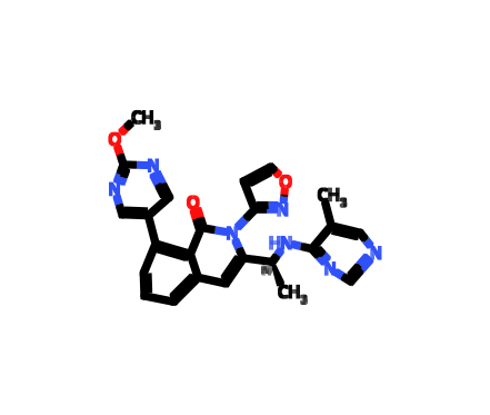 COc1ncc(-c2cccc3cc([C@H](C)Nc4ncncc4C)n(-c4ccon4)c(=O)c23)cn1